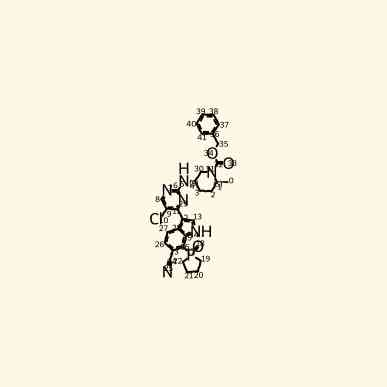 C[C@H]1CC[C@H](Nc2ncc(Cl)c(-c3c[nH]c4c(P5(=O)CCCC5)c(C#N)ccc34)n2)CN1C(=O)OCc1ccccc1